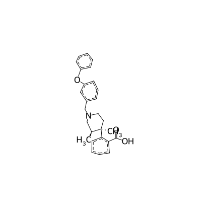 C[C@H]1CN(Cc2cccc(Oc3ccccc3)c2)CC[C@@]1(C)c1ccccc1C(=O)O